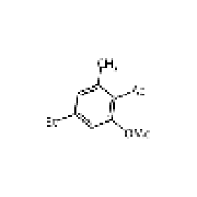 CCc1cc(C)c(C(C)=O)c(OC)c1